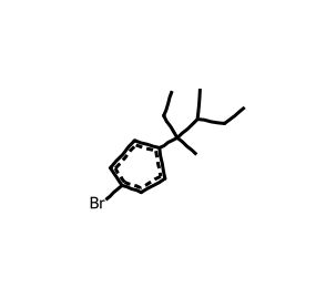 CCC(C)C(C)(CC)c1ccc(Br)cc1